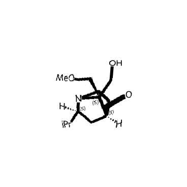 COC[C@@]1(CO)C(=O)[C@H]2CCN1[C@H](C(C)C)C2